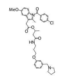 COc1ccc2c(c1)c(CC(=O)OC(C)CC(=O)NCCCOc1cccc(CN3CCCC3)c1)c(C)n2C(=O)c1ccc(Cl)cc1